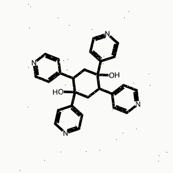 OC1(c2ccncc2)CC(c2ccncc2)C(O)(c2ccncc2)CC1c1ccncc1